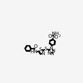 NS(=O)(=O)c1ccc(-n2nnnc2Sc2ncc(NC(=O)c3ccccc3)s2)cc1